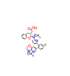 CN1CCOc2cc(-c3ccc(F)cc3-c3csc(N(C)C(=O)C(CC(=O)O)Cc4ccccc4)n3)cnc21